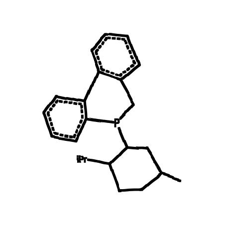 CC1CCC(C(C)C)C(P2Cc3ccccc3-c3ccccc32)C1